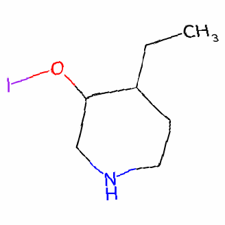 CCC1CCNCC1OI